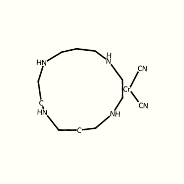 C1CNCCNCCCNCCNC1.N#[C][Cr][C]#N